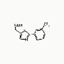 CNCc1cnc(-c2cccc(C(F)(F)F)c2)s1